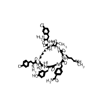 CNCCCC[C@@H]1NC(=O)[C@@H](Cc2ccc(C(N)=O)cc2)NC(=O)[C@H](Cc2ccc(O)cc2)NC(=O)[C@H](NC(=O)[C@@H](N)Cc2ccc(Cl)cc2)CSSC[C@@H](C(=O)NC(Cc2ccc(Cl)cc2)C(N)=O)NC(=O)[C@H]([C@@H](C)O)NC1=O